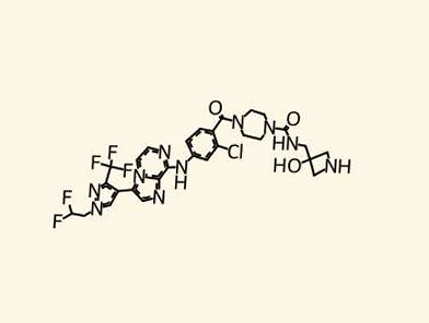 O=C(NCC1(O)CNC1)N1CCN(C(=O)c2ccc(Nc3nccn4c(-c5cn(CC(F)F)nc5C(F)(F)F)cnc34)cc2Cl)CC1